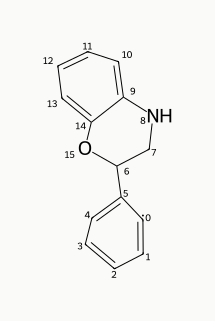 [c]1ccccc1C1CNc2ccccc2O1